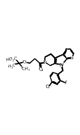 CC(C)(OCCC(=O)N1CCc2c(n(Cc3ccc(Cl)cc3F)c3ncccc23)C1)C(=O)O